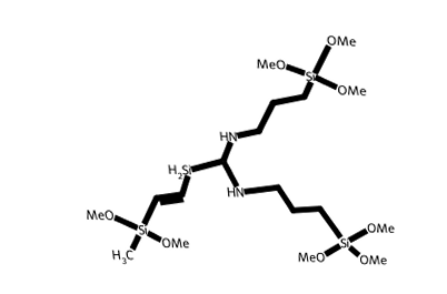 CO[Si](C)(C=C[SiH2]C(NCCC[Si](OC)(OC)OC)NCCC[Si](OC)(OC)OC)OC